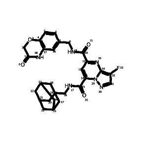 O=C1COc2ccc(CNC(=O)c3cc(C(=O)NCC45CC6CC(CC(C6)C4)C5)n4ncc(F)c4n3)cc2N1